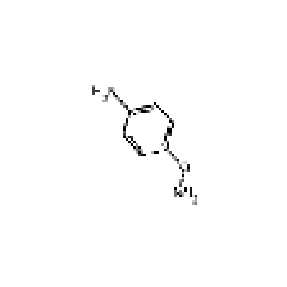 NOc1ccc(N)cc1